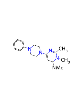 CNC1C=C(N2CCN(c3ccccc3)CC2)N=C(C)N1C